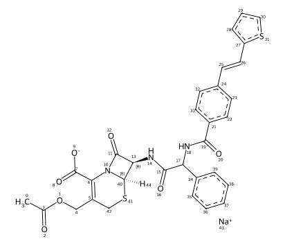 CC(=O)OCC1=C(C(=O)[O-])N2C(=O)[C@@H](NC(=O)C(NC(=O)c3ccc(C=Cc4cccs4)cc3)c3ccccc3)[C@H]2SC1.[Na+]